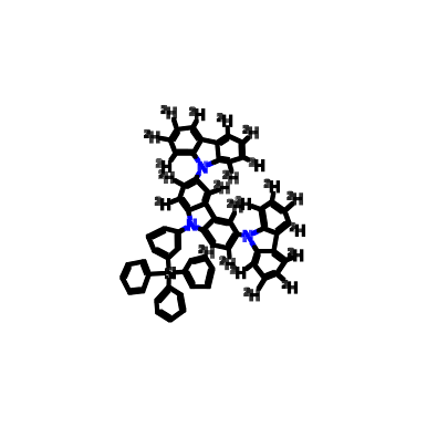 [2H]c1c([2H])c([2H])c2c(c1[2H])c1c([2H])c([2H])c([2H])c([2H])c1n2-c1c([2H])c([2H])c2c(c1[2H])c1c([2H])c(-n3c4c([2H])c([2H])c([2H])c([2H])c4c4c([2H])c([2H])c([2H])c([2H])c43)c([2H])c([2H])c1n2-c1cccc([Si](c2ccccc2)(c2ccccc2)c2ccccc2)c1